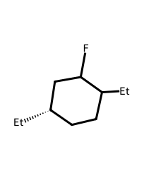 CCC1CC[C@H](CC)CC1F